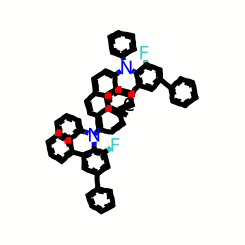 Fc1cc(-c2ccccc2)cc(-c2ccccc2)c1N(C1=CC=C2C=CC3=C(N(c4ccccc4)c4c(F)cc(-c5ccccc5)cc4-c4ccccc4)C=CC4=CC=C1C2C43)c1ccccc1